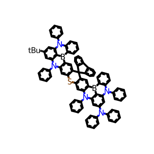 CC(C)(C)c1cc2c3c(c1)N(c1ccccc1)c1cc4c(cc1B3c1ccccc1N2c1ccccc1)C1(c2cc3c(cc2S4)N(c2ccccc2)c2cc(N(c4ccccc4)c4ccccc4)cc4c2B3c2ccccc2N4c2ccccc2)c2ccccc2-c2ccccc21